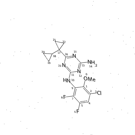 COc1c(Cl)cc(F)c(F)c1Nc1nc(N)nc(C2(C3CC3)CC2)n1